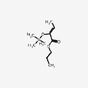 CC=C(O[Si](C)(C)C)C(=O)OCCC